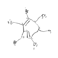 FC(F)(F)C1=C(Br)C(C(F)(F)F)C(Br)C(C(F)(F)F)=C1Br